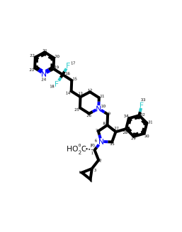 O=C(O)[C@@H](CC1CC1)N1CC(CN2CCC(CCC(F)(F)c3ccccn3)CC2)C(c2cccc(F)c2)C1